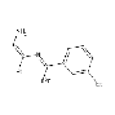 CCC/C(=N\C(=C/N)CC)c1cccc(CC)c1